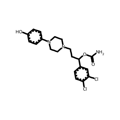 NC(=O)OC(CCN1CCN(c2ccc(O)cc2)CC1)c1ccc(Cl)c(Cl)c1